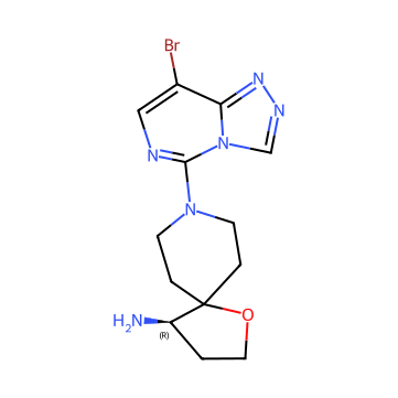 N[C@@H]1CCOC12CCN(c1ncc(Br)c3nncn13)CC2